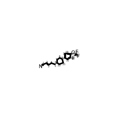 N#C/C=C/CC[C@H]1CC[C@H](c2ccc(OC(F)(F)F)cc2)CC1